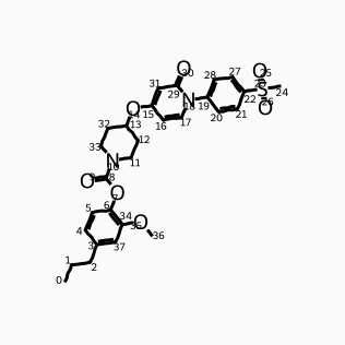 CCCc1ccc(OC(=O)N2CCC(Oc3ccn(-c4ccc(S(C)(=O)=O)cc4)c(=O)c3)CC2)c(OC)c1